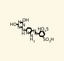 Nc1nc(Nc2nc(O)nc(O)n2)ccc1/N=N/c1cc(S(=O)(=O)O)ccc1S(=O)(=O)O